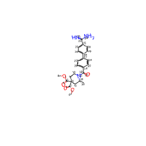 COC(=O)C1(C(=O)OC)CCN(C(=O)c2ccc(-c3ccc(C(=N)N)cc3)cc2)C(C)C1